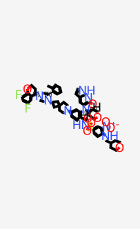 Cc1ccccc1[C@@H]1CN([C@H]2CCOc3c(F)cc(F)cc32)CCN1C1CC2(CCN(c3ccc(C(=O)NS(=O)(=O)c4ccc(NCC5CCOCC5)c([N+](=O)[O-])c4)c(N4c5cc6cc[nH]c6nc5O[C@H]5COCC[C@@H]54)c3)CC2)C1